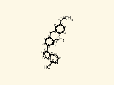 COc1cccc(Cc2ccc(-c3cnn4c(O)ncnc34)cc2C)c1